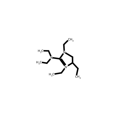 CCC1CN(CC)C(N(CC)CC)=[N+]1CC